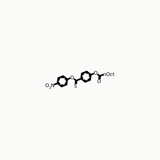 CCCCCCCCC(=O)Oc1ccc(C(=S)Oc2ccc([N+](=O)[O-])cc2)cc1